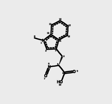 Cn1cc(C[C@@H](N=O)C(=O)O)c2ccccc21